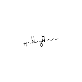 CCCCCCNC(=O)CCNCCN(C)C